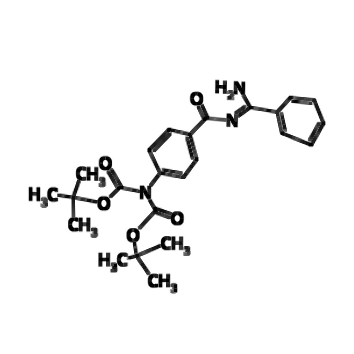 CC(C)(C)OC(=O)N(C(=O)OC(C)(C)C)c1ccc(C(=O)N=C(N)c2ccccc2)cc1